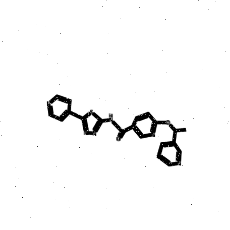 CC(Oc1ccc(C(=O)Nc2nnc(-c3ccncc3)s2)cn1)c1cccnc1